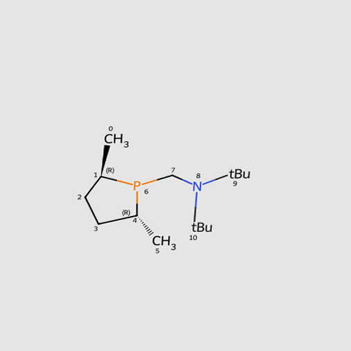 C[C@@H]1CC[C@@H](C)P1CN(C(C)(C)C)C(C)(C)C